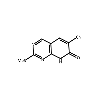 CSc1ncc2cc(C#N)c(=O)[nH]c2n1